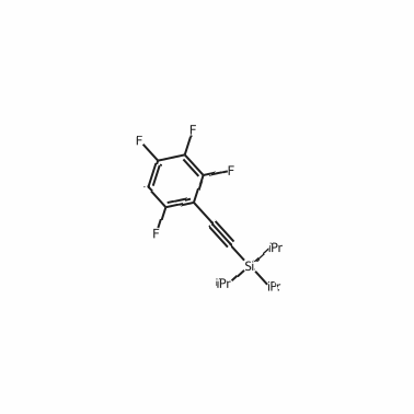 CC(C)[Si](C#Cc1c(F)[c]c(F)c(F)c1F)(C(C)C)C(C)C